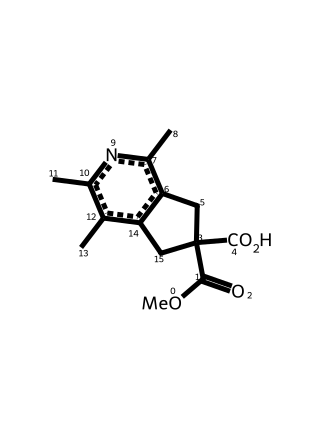 COC(=O)C1(C(=O)O)Cc2c(C)nc(C)c(C)c2C1